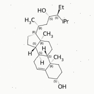 CC[C@@H](C(C)C)[C@@H](O)C[C@@H](C)[C@H]1CC[C@H]2[C@@H]3CC=C4C[C@@H](O)CC[C@]4(C)[C@H]3CC[C@]12C